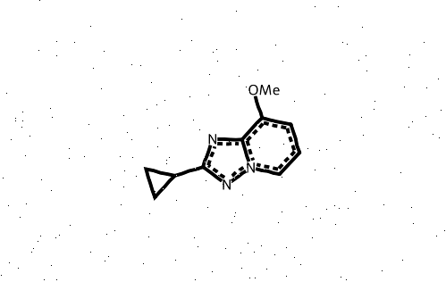 COc1cccn2nc(C3CC3)nc12